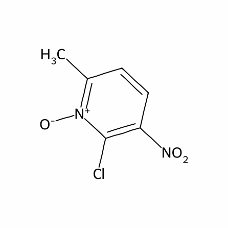 Cc1ccc([N+](=O)[O-])c(Cl)[n+]1[O-]